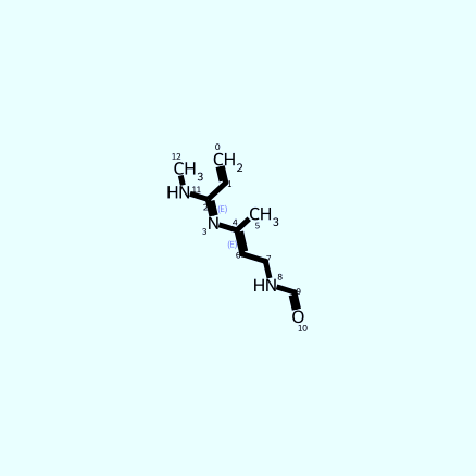 C=C/C(=N\C(C)=C\CNC=O)NC